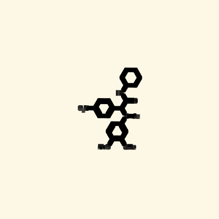 COc1ccc(N(C(C)=O)C(C(=O)NC2CCCCC2)c2ccc([N+](=O)[O-])cc2)cc1OC